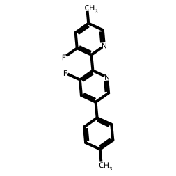 Cc1ccc(-c2cnc(-c3ncc(C)cc3F)c(F)c2)cc1